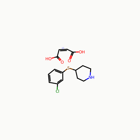 Clc1cccc(SC2CCNCC2)c1.O=C(O)/C=C\C(=O)O